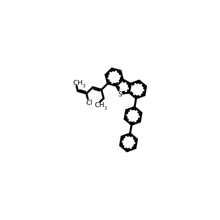 C/C=C(Cl)\C=C(/CC)c1cccc2c1sc1c(-c3ccc(-c4ccccc4)cc3)cccc12